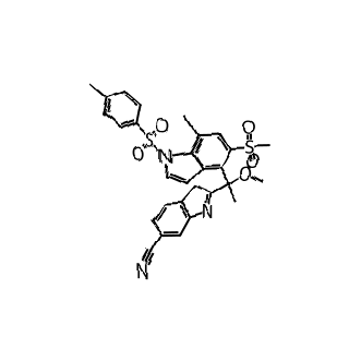 COC(C)(C1=Nc2cc(C#N)ccc2C1)c1c(S(C)(=O)=O)cc(C)c2c1ccn2S(=O)(=O)c1ccc(C)cc1